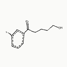 O=C(CCCCO)c1cccc(F)c1